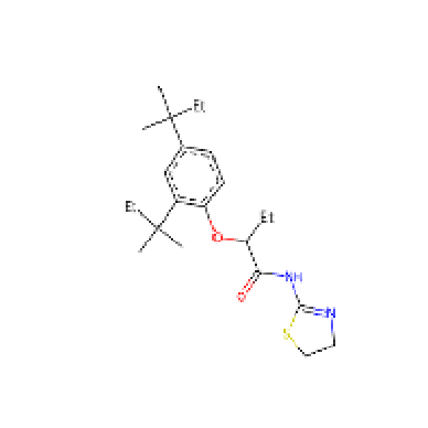 CCC(Oc1ccc(C(C)(C)CC)cc1C(C)(C)CC)C(=O)NC1=NCCS1